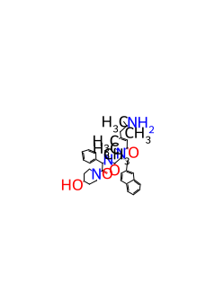 C/C(=C\C(=O)N(C)[C@H](Cc1ccc2ccccc2c1)C(=O)N(C)C(C(=O)N1CCC(O)CC1)c1ccccc1)CC(C)(C)N